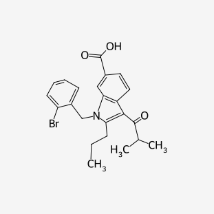 CCCc1c(C(=O)C(C)C)c2ccc(C(=O)O)cc2n1Cc1ccccc1Br